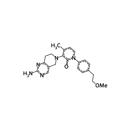 COCCc1ccc(-n2ccc(C)c(N3CCc4nc(N)ncc4C3)c2=O)cc1